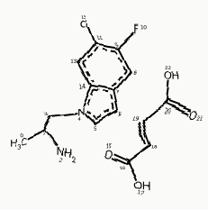 CC(N)Cn1ccc2cc(F)c(Cl)cc21.O=C(O)C=CC(=O)O